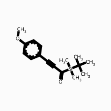 COc1ccc(C#CC(=O)[Si](C)(C)C(C)(C)C)cc1